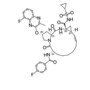 Cc1nc2cccc(F)c2nc1O[C@@H]1C[C@H]2C(=O)N[C@]3(C(=O)NS(=O)(=O)C4CC4)C[C@H]3C=CCCCCC[C@H](NC(=O)c3ccc(F)cc3)C(=O)N2C1